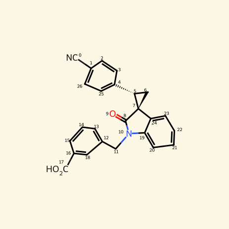 N#Cc1ccc([C@@H]2C[C@@]23C(=O)N(Cc2cccc(C(=O)O)c2)c2ccccc23)cc1